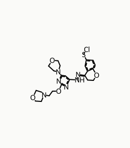 ClSc1ccc2c(c1)C(=NNc1cc(N3CCOCC3)nc(OCCN3CCOCC3)n1)CCO2